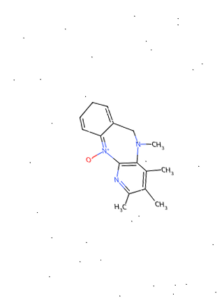 Cc1nc2c(c(C)c1C)N(C)CC1=CCC=CC1=[N+]2[O-]